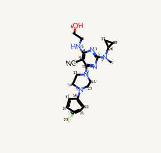 CN(c1nc(NCCO)c(C#N)c(N2CCN(c3ccc(F)cc3)CC2)n1)C1CC1